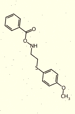 COc1ccc(SCCNOC(=O)c2ccccc2)cc1